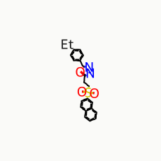 CCc1ccc(-c2nnc(CCS(=O)(=O)c3ccc4ccccc4c3)o2)cc1